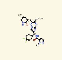 CCn1nccc1C(=O)N[C@H](c1cn2nc(C[C@H]3C[C@@H](C(F)(F)F)CNC3=O)c(CNC)nc2n1)C1CCC(F)(F)CC1